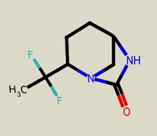 CC(F)(F)C1CCC2CN1C(=O)N2